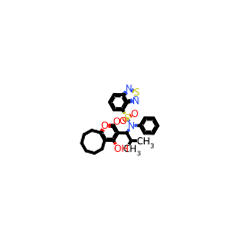 CC(C)C(c1c(O)c2c(oc1=O)CCCCCC2)N(c1ccccc1)S(=O)(=O)c1cccc2nsnc12